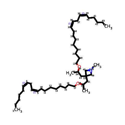 CCCCC/C=C\C/C=C\CCCCCCCCOC(C)CC1(CC(C)OCCCCCCCC/C=C\C/C=C\CCCCC)CN(C)C1